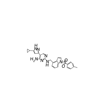 Cc1ccc(S(=O)(=O)n2ccc3c(CNc4ncc(-c5cc(C6CC6)[nH]n5)c(N)n4)cccc32)cc1